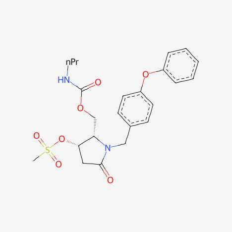 CCCNC(=O)OC[C@H]1[C@@H](OS(C)(=O)=O)CC(=O)N1Cc1ccc(Oc2ccccc2)cc1